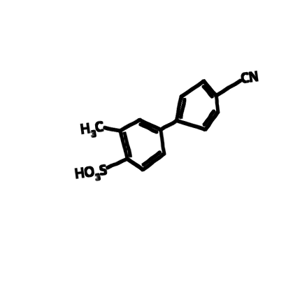 Cc1cc(-c2ccc(C#N)cc2)ccc1S(=O)(=O)O